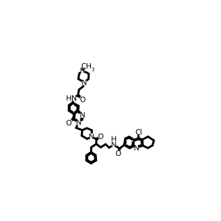 CN1CCN(CCC(=O)Nc2ccc3c(=O)n(CC4CCN(C(=O)C(CCCNC(=O)c5ccc6c(Cl)c7c(nc6c5)CCCC7)Cc5ccccc5)CC4)cnc3c2)CC1